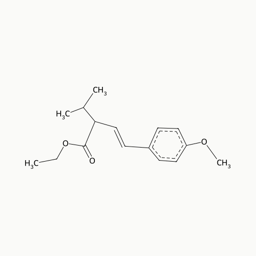 CCOC(=O)C(C=Cc1ccc(OC)cc1)C(C)C